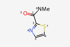 CNC(=O)c1nc[c]s1